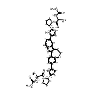 COC(=O)NC(C(=O)N1CCC[C@H]1c1ncc(-c2ccc3oc4c(c3c2)CCOc2cc(-c3cnc([C@@H]5CCCN5C(=O)[C@@H](NC(=O)OC)C(C)C)[nH]3)ccc2-4)[nH]1)C(C)C